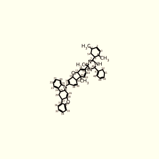 CC1C=CC(C)C(C2=NC(C)(C3=CC4OC5C=C(N6c7ccccc7C7CC8C(=CC76)Oc6ccccc68)C=CC5C4(C)C=C3)NC(C3=CC=CCC3)N2)C1